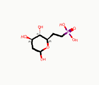 O=P(O)(O)CC[C@H]1OC(O)C[C@@H](O)[C@@H]1O